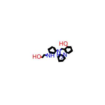 Nc1cccc(O)c1CN(c1ccccc1)c1cccc(NCCO)c1